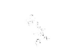 OCC1(Nc2ccc(F)c(F)c2)C=C(N2CCN(c3ncccc3C(F)(F)F)CC2)NC=N1